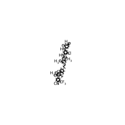 C[C@@H]1CN(CCC[C@H]2CC[C@H](N3C(=S)N(c4ccc(C#N)c(C(F)(F)F)c4)C(=O)C3(C)C)CC2)C[C@H](C)N1CC(=O)Nc1cc(Cl)cc(NC2CCC(=O)NC2=O)c1